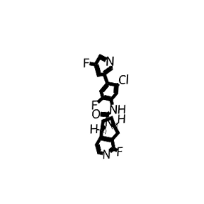 O=C(Nc1cc(Cl)c(-c2cncc(F)c2)cc1F)N1[C@H]2CC[C@@H]1c1ccnc(F)c1C2